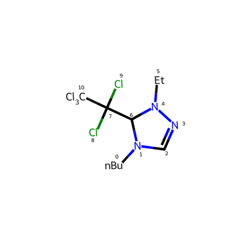 CCCCN1C=NN(CC)C1C(Cl)(Cl)C(Cl)(Cl)Cl